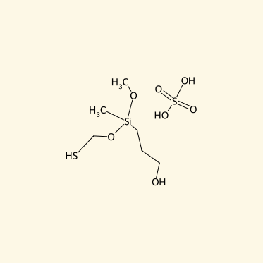 CO[Si](C)(CCCO)OCS.O=S(=O)(O)O